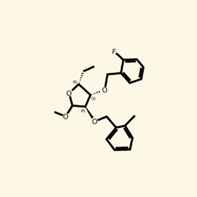 CC[C@H]1OC(OC)[C@H](OCc2ccccc2C)[C@H]1OCc1ccccc1F